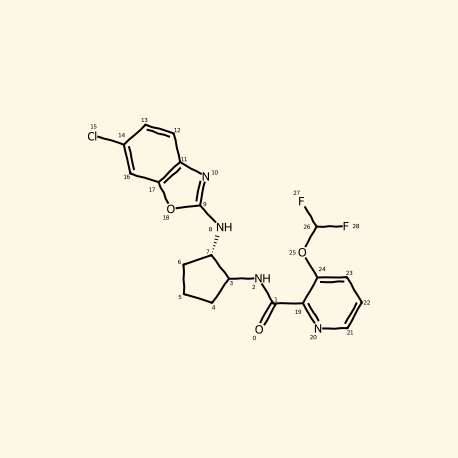 O=C(NC1CCC[C@@H]1Nc1nc2ccc(Cl)cc2o1)c1ncccc1OC(F)F